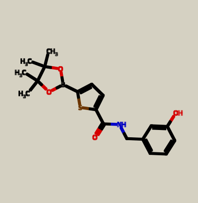 CC1(C)OB(c2ccc(C(=O)NCc3cccc(O)c3)s2)OC1(C)C